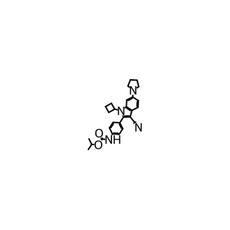 CC(C)OC(=O)Nc1ccc(-c2c(C#N)c3ccc(N4CCCC4)cc3n2C2CCC2)cc1